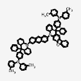 Cc1cccc(N(c2ccc(C3(c4ccccc4)c4ccccc4N(c4ccc5cc6cc(N7C8C=CC=CC8C(c8ccccc8)(c8ccc(N(c9cccc(C)c9)c9cccc(C)c9)cc8)C8C=CC=CC87)ccc6cc5c4)c4cc5oc6ccccc6c5cc43)cc2)c2cccc(C)c2)c1